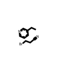 CCc1cccnc1.N#CCCBr